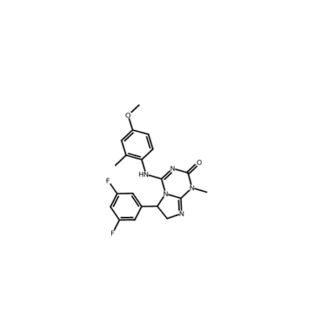 COc1ccc(NC2=NC(=O)N(C)C3=NCC(c4cc(F)cc(F)c4)N23)c(C)c1